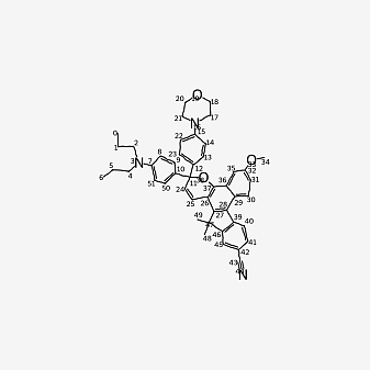 CCCN(CCC)c1ccc(C2(c3ccc(N4CCOCC4)cc3)C=Cc3c4c(c5ccc(OC)cc5c3O2)-c2ccc(C#N)cc2C4(C)C)cc1